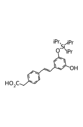 CC(C)[Si](Oc1cc(O)cc(C=Cc2ccc(CC(=O)O)cc2)c1)(C(C)C)C(C)C